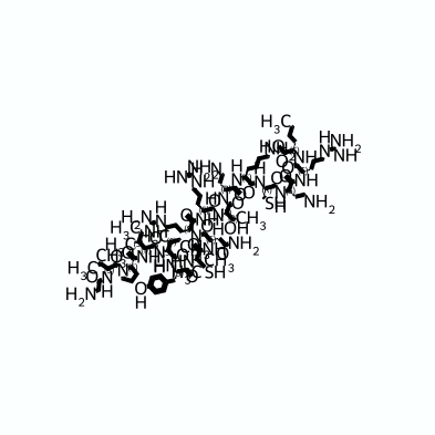 CCCC[C@H](NC(=O)[C@H](CCCNC(=N)N)NC(=O)[C@H](CCN)NC(=O)[C@H](CS)NC(=O)[C@H](CCCCN)NC(=O)[C@@H](CCN)NC(=O)[C@@H](NC(=O)[C@H](CCCNC(=N)N)NC(=O)[C@H](CCCNC(=N)N)NC(=O)[C@H](CC(N)=O)NC(=O)[C@@H](NC(=O)[C@H](Cc1ccc(O)cc1)NC(=O)[C@@H](NC(=O)[C@@H](NC(=O)[C@@H]1CCCN1C(=O)[C@@H](NC(=O)CN)C(C)C)[C@@H](C)CC)[C@@H](C)CC)C(C)(C)S)[C@@H](C)O)C(=O)O